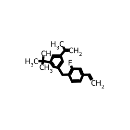 C=Cc1ccc(Cc2cc(C(=C)C)cc(C(C)(C)C)c2)c(F)c1